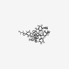 CCCOc1ccc(C(CN2C=CN(C(c3ccccc3)c3ccc(Br)cc3)C2OP(=O)(O)O)OCCc2ccc(C#N)cc2)cc1